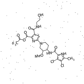 COC1CN(c2nc(C(=O)OC(=O)C(F)(F)F)c(C(=O)NCCO)s2)CCC1NC(=O)c1[nH]c(C)c(Cl)c1Cl